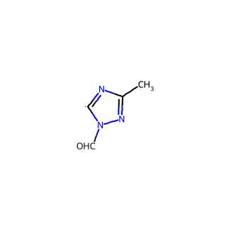 Cc1n[c]n(C=O)n1